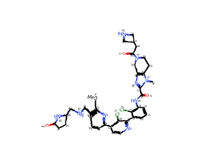 COc1nc(-c2ccnc(-c3cccc(NC(=O)c4nc5c(n4C)CCN(C(=O)CC4CNC4)C5)c3Cl)c2Cl)ccc1CNCC1CCC(=O)N1